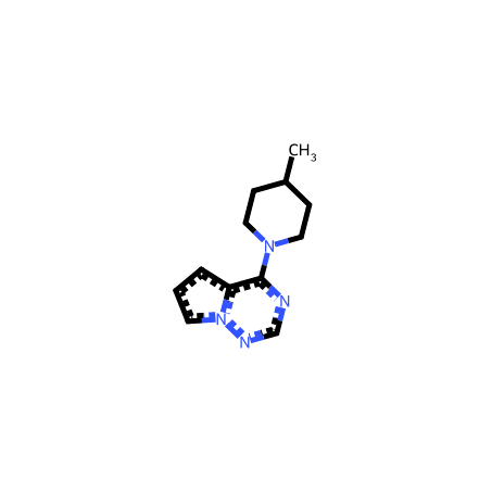 CC1CCN(c2ncnn3cccc23)CC1